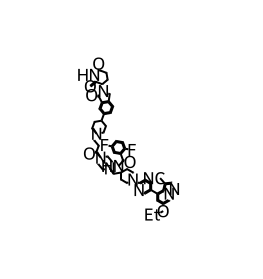 CCOc1cc(-c2ccc(N3CCC(CN4CCN(C(=O)CCN5CCC(c6ccc7c(c6)C(=O)N(C6CCC(=O)NC6=O)C7)CC5)CC4)(NC(=O)c4cc(F)ccc4F)CC3)nc2)c2c(C#N)cnn2c1